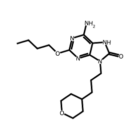 CCCCOc1nc(N)c2[nH]c(=O)n(CCCC3CCOCC3)c2n1